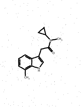 Cc1cccc2c(CC(=O)N(C)C3CC3)c[nH]c12